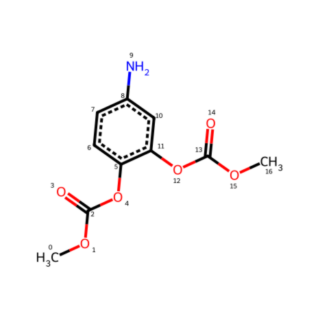 COC(=O)Oc1ccc(N)cc1OC(=O)OC